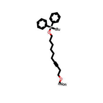 CCCCCCCCCOCCC#CCCCCCCO[Si](c1ccccc1)(c1ccccc1)C(C)(C)C